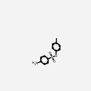 Cc1ccc(OS(=O)(=O)c2ccc(N)cc2)cc1